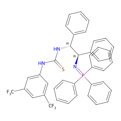 FC(F)(F)c1cc(NC(=S)N[C@H](c2ccccc2)[C@H](N=P(c2ccccc2)(c2ccccc2)c2ccccc2)c2ccccc2)cc(C(F)(F)F)c1